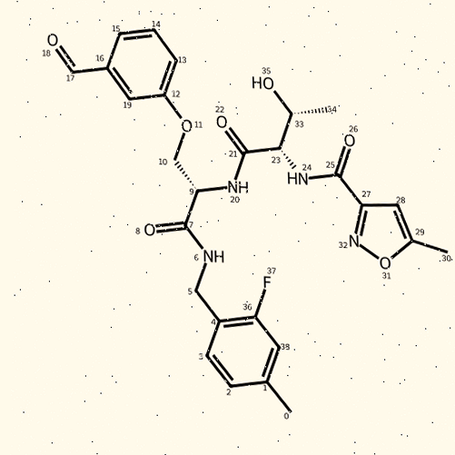 Cc1ccc(CNC(=O)[C@H](COc2cccc(C=O)c2)NC(=O)[C@@H](NC(=O)c2cc(C)on2)[C@@H](C)O)c(F)c1